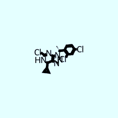 C[C@H](c1ccc(Cl)cc1Cl)n1nnc2c1N=C(Cl)NC2C1CC1